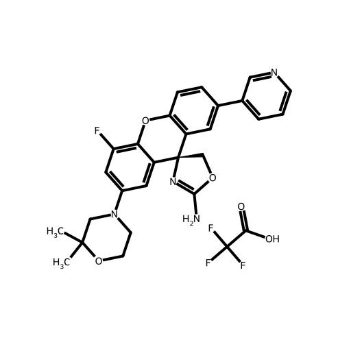 CC1(C)CN(c2cc(F)c3c(c2)[C@]2(COC(N)=N2)c2cc(-c4cccnc4)ccc2O3)CCO1.O=C(O)C(F)(F)F